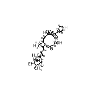 CC[C@H](O)[C@@H](C)[C@H]1O[C@@H]1CC(C)(O)/C=C/C=C(\C)C1OC(=O)CC(O)CCC(C)(OC(=O)N2CC3CC2CN3)C(OC(C)=O)C=CC1C